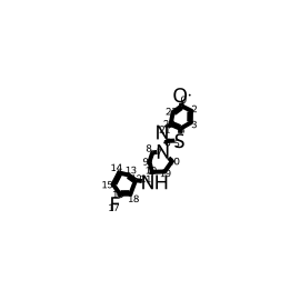 [O]c1ccc2sc(N3CCC(Nc4cccc(F)c4)CC3)nc2c1